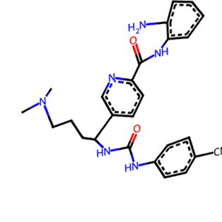 CN(C)CCCC(NC(=O)Nc1ccc(C#N)cc1)c1ccc(C(=O)Nc2ccccc2N)nc1